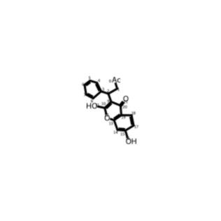 CC(=O)CC(c1ccccc1)c1c(O)oc2cc(O)ccc2c1=O